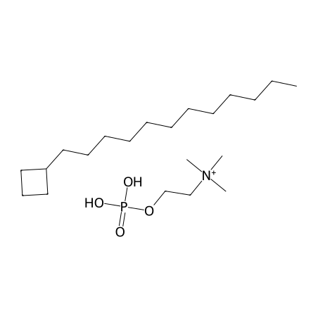 CCCCCCCCCCCCC1CCC1.C[N+](C)(C)CCOP(=O)(O)O